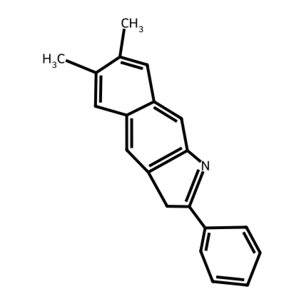 Cc1cc2cc3c(cc2cc1C)N=C(c1ccccc1)C3